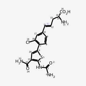 NC(=O)Nc1sc(-c2ccc(/C=C/C[C@H](N)C(=O)O)cc2Cl)cc1C(N)=O